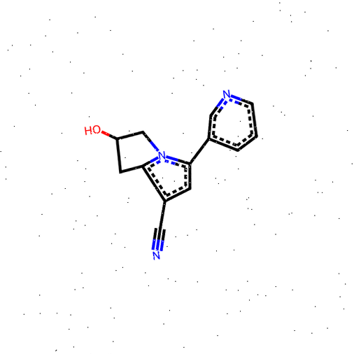 N#Cc1cc(-c2cccnc2)n2c1CC(O)C2